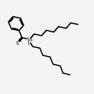 CCCCCCC[CH2][SnH]([CH2]CCCCCCC)[C](=S)c1ccccc1